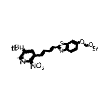 CCOCOc1ccc2nc(/C=C/C=C/c3cc(C(C)(C)C)[c]nc3[N+](=O)[O-])sc2c1